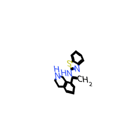 C=C(Nc1nc2ccccc2s1)c1cccc2c1CNCC2